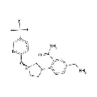 NCc1ccc(N2CC[C@@H](Oc3ccc(C(F)(F)F)cn3)C2)c(C(N)=O)c1